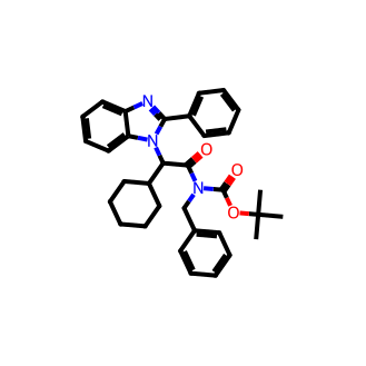 CC(C)(C)OC(=O)N(Cc1ccccc1)C(=O)C(C1CCCCC1)n1c(-c2ccccc2)nc2ccccc21